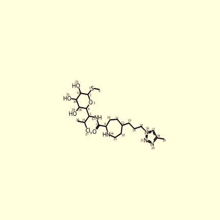 CSC1OC(C(NC(=O)C2CCC(CCCn3cc(C)nn3)CCN2)C(C)Cl)C(O)C(O)C1O